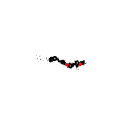 COc1cc2c(cc1OC)CN(CCc1ccc(NC(=O)c3cccc(C=c4[nH]c(=O)c(=Cc5ccsc5)n(C)c4=O)c3)cc1)CC2